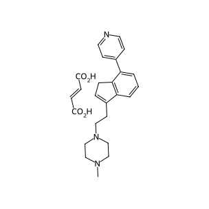 CN1CCN(CCC2=CCc3c2cccc3-c2ccncc2)CC1.O=C(O)C=CC(=O)O